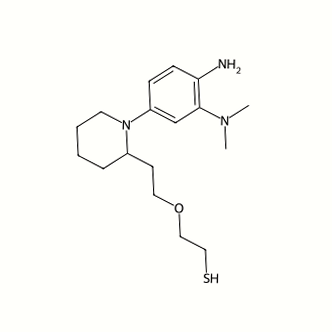 CN(C)c1cc(N2CCCCC2CCOCCS)ccc1N